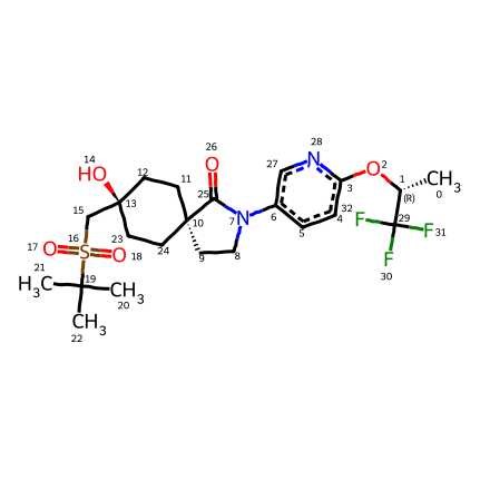 C[C@@H](Oc1ccc(N2CC[C@]3(CC[C@@](O)(CS(=O)(=O)C(C)(C)C)CC3)C2=O)cn1)C(F)(F)F